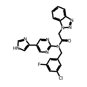 O=C(Cn1nnc2ccccc21)N(Cc1cc(F)cc(Cl)c1)c1ncc(-c2c[nH]cn2)cn1